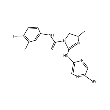 CC1CN(C(=S)Nc2ccc(F)c(I)c2)C(Nc2cnc(C(C)C)cn2)=N1